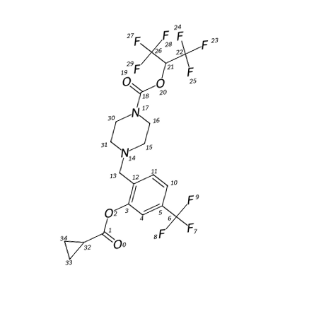 O=C(Oc1cc(C(F)(F)F)ccc1CN1CCN(C(=O)OC(C(F)(F)F)C(F)(F)F)CC1)C1CC1